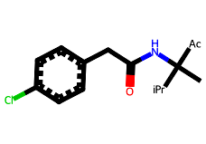 CC(=O)C(C)(NC(=O)Cc1ccc(Cl)cc1)C(C)C